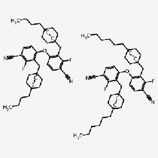 CCCCC12CCC(Cc3c(Oc4ccc(C#N)c(F)c4CC45CCC(CCCC)(CC4)CC5)ccc(C#N)c3F)(CC1)CC2.CCCCCCC12CCC(Cc3c(Oc4ccc(C#N)c(F)c4CC45CCC(CCCCCC)(CC4)CC5)ccc(C#N)c3F)(CC1)CC2